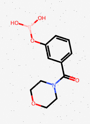 O=C(c1cccc(OB(O)O)c1)N1CCOCC1